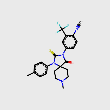 [C-]#[N+]c1ccc(N2C(=O)C3(CCN(C)CC3)N(c3ccc(C)cc3)C2=S)cc1C(F)(F)F